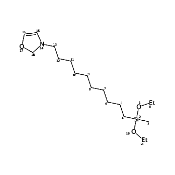 CCO[Si](C)(CCCCCCCCCCN1C=COC1)OCC